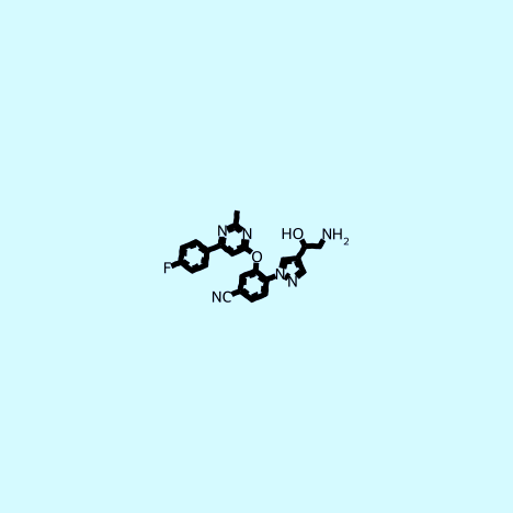 Cc1nc(Oc2cc(C#N)ccc2-n2cc(C(O)CN)cn2)cc(-c2ccc(F)cc2)n1